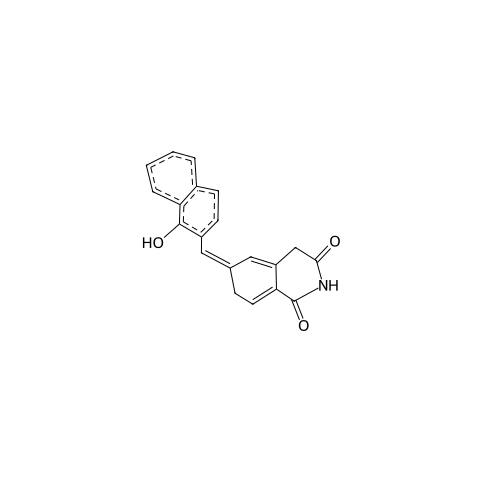 O=C1CC2=CC(=Cc3ccc4ccccc4c3O)CC=C2C(=O)N1